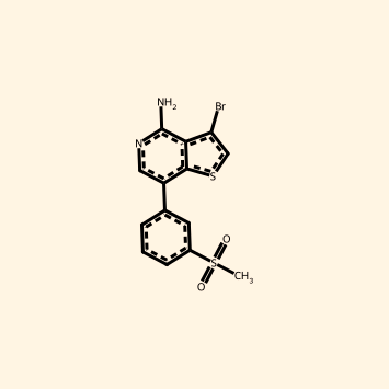 CS(=O)(=O)c1cccc(-c2cnc(N)c3c(Br)csc23)c1